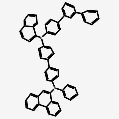 c1ccc(-c2cccc(-c3ccc(N(c4ccc(-c5ccc(N(c6ccccc6)c6cc7ccccc7c7ccccc67)cc5)cc4)c4cccc5ccccc45)cc3)c2)cc1